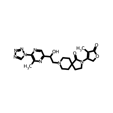 CC1=C(N2CCC3(CCN(CC(O)c4cnc(-n5cnnn5)c(C)n4)CC3)C2=O)COC1=O